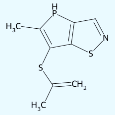 C=C(C)Sc1c(C)[pH]c2cnsc12